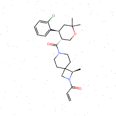 C=CC(=O)N1CC2(CCN(C(=O)[C@H]3COC(C)(C)C[C@@H]3c3ccccc3Cl)CC2)[C@H]1C